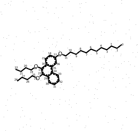 CCCCCCCCCCCCOc1ccc2c(OCCCC)c(OCCCC)c3ccccc3c2c1